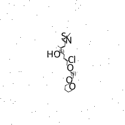 CC(=Cc1csc(C)n1)[C@@H](O)CC=C(Cl)COC[C@H](C)COC1CCCCO1